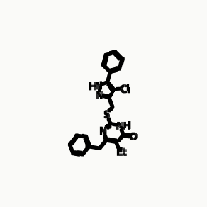 CCc1c(Cc2ccccc2)nc(SCc2n[nH]c(-c3ccccc3)c2Cl)[nH]c1=O